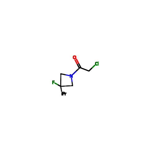 CC(C)C1(F)CN(C(=O)CCl)C1